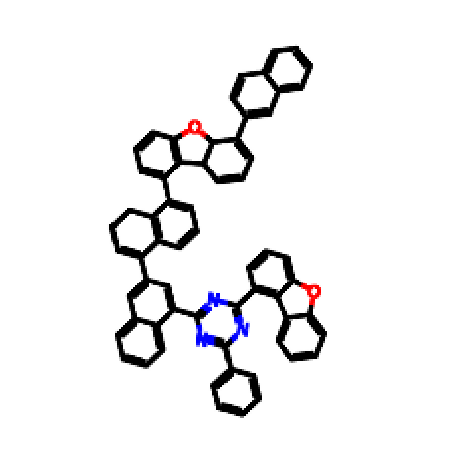 C1=CC2c3c(cccc3-c3cccc4c3CCC=C4c3cc(-c4nc(-c5ccccc5)nc(-c5cccc6oc7ccccc7c56)n4)c4ccccc4c3)OC2C(c2ccc3ccccc3c2)=C1